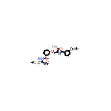 COc1cccc(-c2nc(CO[C@H]3CCC[C@@H](C(=O)NC(C(=O)O)C(C)C)C3)c(C(C)C)o2)c1